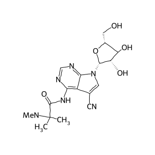 CNC(C)(C)C(=O)Nc1ncnc2c1c(C#N)cn2[C@@H]1O[C@H](CO)C(O)[C@@H]1O